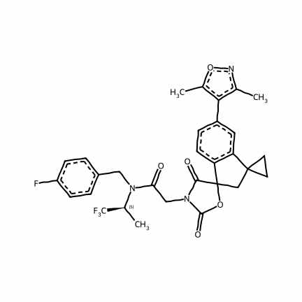 Cc1noc(C)c1-c1ccc2c(c1)C1(CC1)CC21OC(=O)N(CC(=O)N(Cc2ccc(F)cc2)[C@@H](C)C(F)(F)F)C1=O